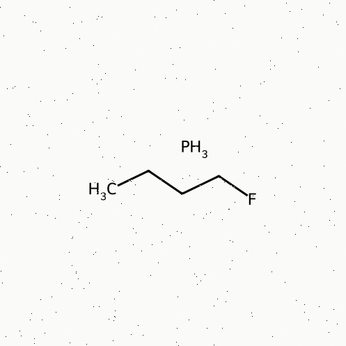 CCCCF.P